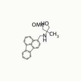 COCC(C)(CO)NCc1ccc2c3c(cccc13)-c1ccccc1-2